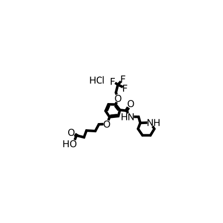 Cl.O=C(O)CCCCOc1ccc(OCC(F)(F)F)c(C(=O)NCC2CCCCN2)c1